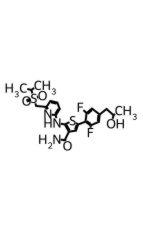 CC(O)Cc1cc(F)c(-c2cc(C(N)=O)c(Nc3cccc(CS(=O)(=O)C(C)C)n3)s2)c(F)c1